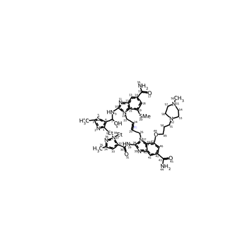 CCc1nc(C)sc1C(O)Nc1nc2cc(C(N)=O)cc(SC)c2n1C/C=C/Cn1c(NC(=O)c2cc(C)nn2CC)nc2cc(C(N)=O)cc(OCCCN3CCN(C)CC3)c21